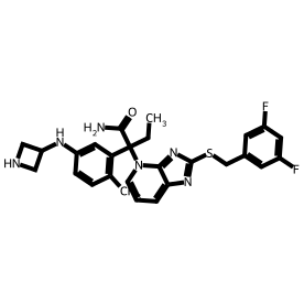 CCC(C(N)=O)(c1cc(NC2CNC2)ccc1C)n1cccc2nc(SCc3cc(F)cc(F)c3)nc1-2